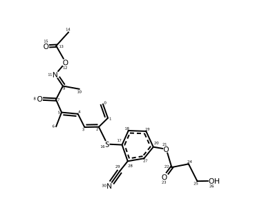 C=C/C(=C\C=C(/C)C(=O)/C(C)=N/OC(C)=O)Sc1ccc(OC(=O)CCO)cc1C#N